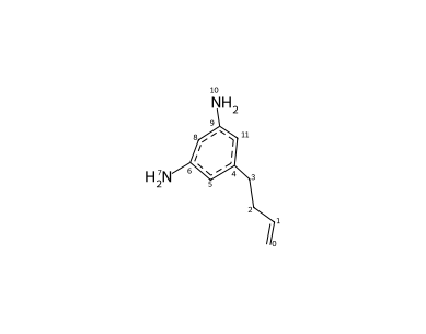 C=CCCc1cc(N)cc(N)c1